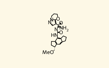 COC[C@@H]1CCc2c1cc1c(c2NC(=O)N=[S@@](N)(=O)c2cnn3c2OCCC3)CCC1